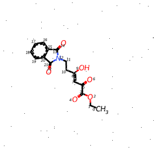 CCOC(=O)C(=O)/C=C(\O)CCN1C(=O)c2ccccc2C1=O